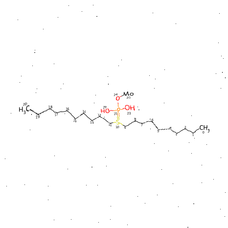 CCCCCCCCCCS(CCCCCCCCCC)=P(O)(O)[O][Mo]